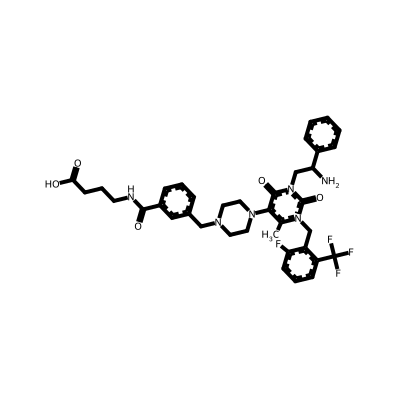 Cc1c(N2CCN(Cc3cccc(C(=O)NCCCC(=O)O)c3)CC2)c(=O)n(CC(N)c2ccccc2)c(=O)n1Cc1c(F)cccc1C(F)(F)F